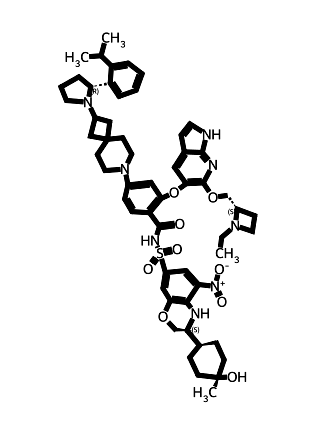 CCN1CC[C@H]1COc1nc2[nH]ccc2cc1Oc1cc(N2CCC3(CC2)CC(N2CCC[C@@H]2c2ccccc2C(C)C)C3)ccc1C(=O)NS(=O)(=O)c1cc2c(c([N+](=O)[O-])c1)N[C@@H]([C@H]1CC[C@](C)(O)CC1)CO2